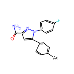 CC(=O)c1ccc(-c2cc(C(N)=O)nn2-c2ccc(F)cc2)cc1